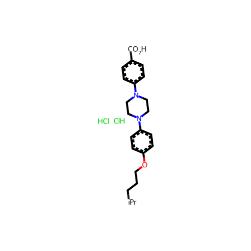 CC(C)CCCOc1ccc(N2CCN(c3ccc(C(=O)O)cc3)CC2)cc1.Cl.Cl